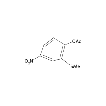 CSc1cc([N+](=O)[O-])ccc1OC(C)=O